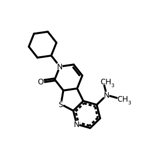 CN(C)c1ccnc2c1C1C=CN(C3CCCCC3)C(=O)C1S2